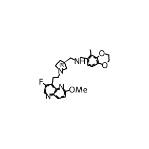 COc1ccc2ncc(F)c(CCN3CC[C@@H](CNCc4ccc5c(c4C)OCCO5)C3)c2n1